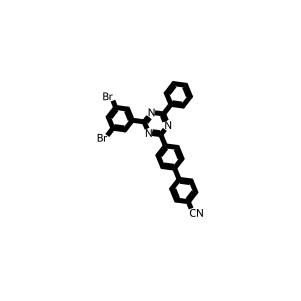 N#Cc1ccc(-c2ccc(-c3nc(-c4ccccc4)nc(-c4cc(Br)cc(Br)c4)n3)cc2)cc1